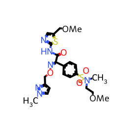 COCCN(C)S(=O)(=O)c1ccc(/C(=N\OCc2ccn(C)n2)C(=O)Nc2ncc(COC)s2)cc1